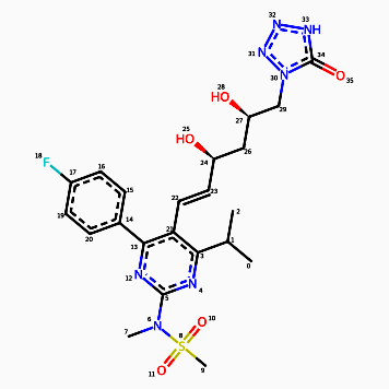 CC(C)c1nc(N(C)S(C)(=O)=O)nc(-c2ccc(F)cc2)c1/C=C/[C@@H](O)C[C@@H](O)Cn1nn[nH]c1=O